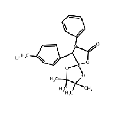 Cc1ccc(C2N(c3ccccc3)C(=O)O[B-]23OC(C)(C)C(C)(C)O3)cc1.[Li+]